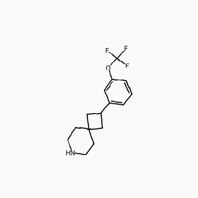 FC(F)(F)Oc1cccc(C2CC3(CCNCC3)C2)c1